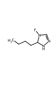 CCCCC1NN=CN1F